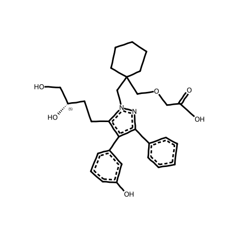 O=C(O)COCC1(Cn2nc(-c3ccccc3)c(-c3cccc(O)c3)c2CC[C@H](O)CO)CCCCC1